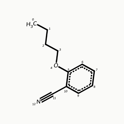 CCCCOc1ccccc1C#N